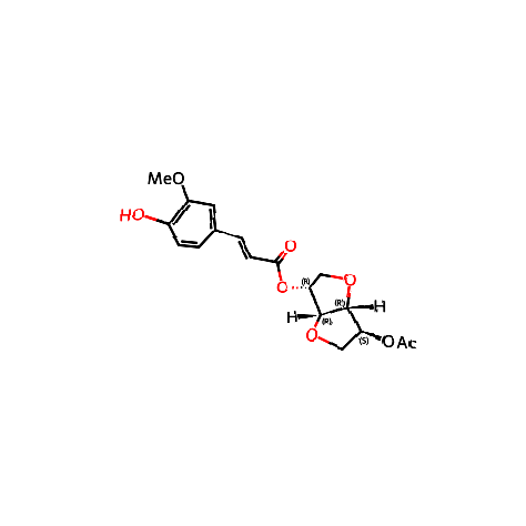 COc1cc(C=CC(=O)O[C@@H]2CO[C@H]3[C@@H]2OC[C@@H]3OC(C)=O)ccc1O